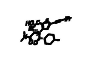 CC[C@@H](C(=O)N(C)C)N(c1cc(C#CC(C)C)sc1C(=O)O)C(=O)[C@H]1CC[C@H](C)CC1